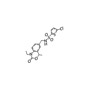 CCN1C(=O)OC(C)c2cc(CNS(=O)(=O)c3ccc(Cl)s3)ccc21